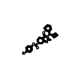 Cc1nc2c(c(=O)n1C(c1ccccc1)C1CCC1)CCN(C(=O)Oc1ccc(Br)cc1)C2